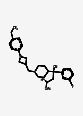 CCCC(CC(C#N)(c1cccc(F)c1)C1CCN(CC2CN(c3ccc(CC(F)(F)F)cc3)C2)CC1)OC(C)=O